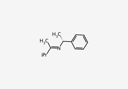 C/C(=N\[C@H](C)c1ccccc1)C(C)C